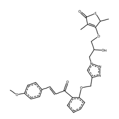 COc1ccc(/C=C/C(=O)c2ccccc2OCc2cn(CC(O)COC3=C(C)C(=O)SC3C)nn2)cc1